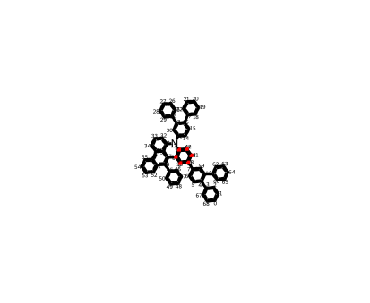 c1ccc(-c2ccc(-c3ccc(N(c4ccc(-c5ccccc5)c(-c5ccccc5)c4)c4cccc5c4c(-c4ccccc4)c(-c4ccccc4)c4ccccc45)cc3)cc2-c2ccccc2)cc1